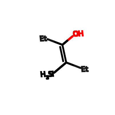 CCC(O)=C([SiH3])CC